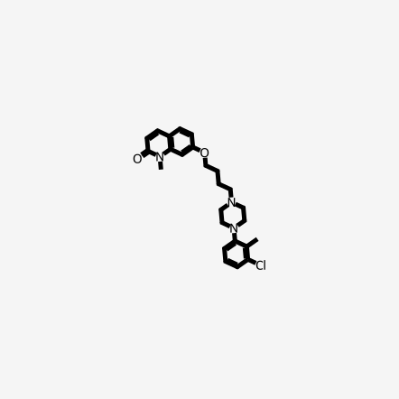 Cc1c(Cl)cccc1N1CCN(CCCCOc2ccc3ccc(=O)n(C)c3c2)CC1